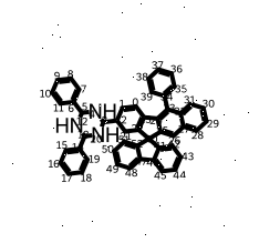 C1=CC(C2NC(c3ccccc3)NC(c3ccccc3)N2)CC2=C1c1c(cc3ccccc3c1-c1ccccc1)C21c2ccccc2-c2ccccc21